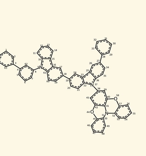 c1ccc(-c2cccc(-n3c4ccccc4c4cc(-c5ccc6c(c5)c5cc(-c7ccccc7)ccc5n6-c5cc6c7c(c5)Oc5ccccc5N7c5ccccc5O6)ccc43)c2)cc1